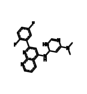 CN(C)C1=CC(Nc2cc(-c3cc(F)ccc3F)nc3ncccc23)NC=N1